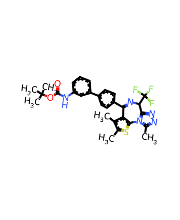 Cc1sc2c(c1C)C(c1ccc(-c3cccc(NC(=O)OC(C)(C)C)c3)cc1)=NC(C(F)(F)F)c1nnc(C)n1-2